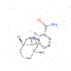 CO[C@]1(c2cccc(C(N)=O)c2F)[C@@H]2CCC[C@H]1CN(C)C2